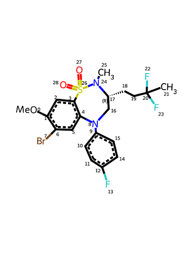 COc1cc2c(cc1Br)N(c1ccc(F)cc1)C[C@@H](CCC(C)(F)F)N(C)S2(=O)=O